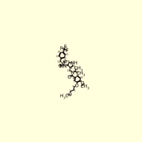 COCCCOc1cc(C(=O)N(C[C@@H]2CNC[C@H]2NS(=O)(=O)Cc2ccc(C(F)(F)F)cc2)C(C)C)ccc1OC